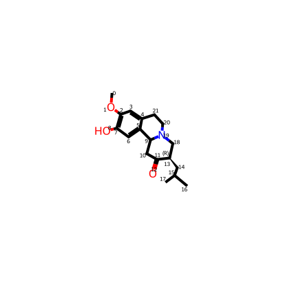 COc1cc2c(cc1O)C1CC(=O)[C@H](CC(C)C)CN1CC2